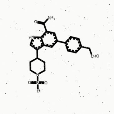 CCS(=O)(=O)N1CCC(c2c[nH]c3c(C(N)=O)cc(-c4ccc(CC=O)cc4)cc23)CC1